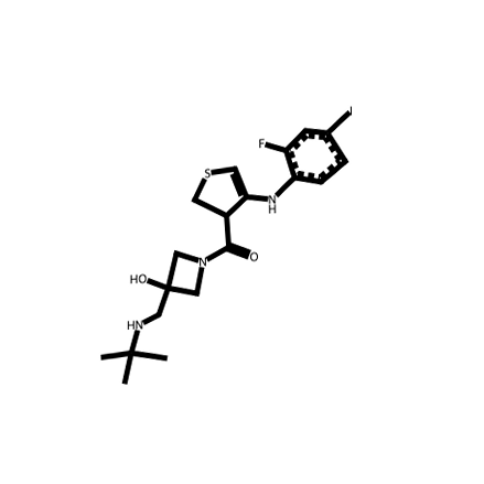 CC(C)(C)NCC1(O)CN(C(=O)C2CSC=C2Nc2ccc(I)cc2F)C1